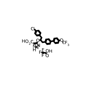 O=C(O)C(F)(F)F.O=C(O)c1[nH]nnc1OC(Cc1ccc(Cl)cc1)Cc1ccc(-c2ccc(OC(F)(F)F)cc2)cc1